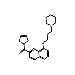 O=C(c1ccc2cccc(OCCCN3CCCCC3)c2n1)N1CC=CC1